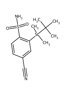 CC(C)(C)[Si](C)(C)c1cc(C#N)ccc1S(N)(=O)=O